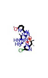 CN/C=N\C(=N)[C@@H](C)n1c(NS(=O)(=O)[C@@H](C)[C@H](C)c2ncc(Cl)cn2)nnc1-c1cccc(OC)n1